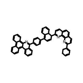 C1=CCCC(c2ccc3ccc4ccc(C5C=CC(c6ccc(-c7nc8c9ccccc9c9ccccc9c8c8ccccc78)cc6)=C6C=CC=CC65)nc4c3n2)=C1